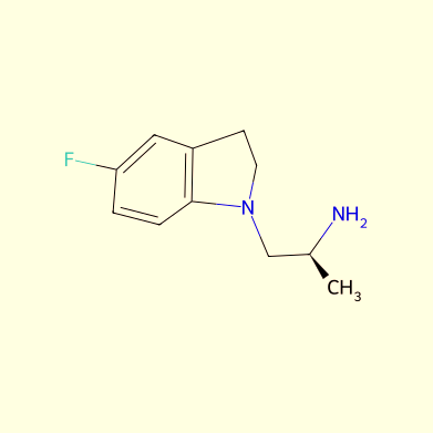 C[C@H](N)CN1CCc2cc(F)ccc21